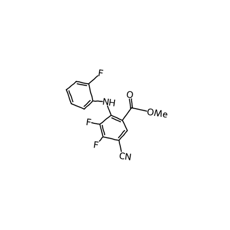 COC(=O)c1cc(C#N)c(F)c(F)c1Nc1ccccc1F